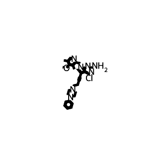 COc1c(C)cnc(Cn2cc(C#CCCN3CCN(c4ccccc4)CC3)c3c(Cl)nc(N)nc32)c1C